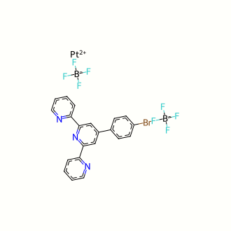 Brc1ccc(-c2cc(-c3ccccn3)nc(-c3ccccn3)c2)cc1.F[B-](F)(F)F.F[B-](F)(F)F.[Pt+2]